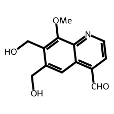 COc1c(CO)c(CO)cc2c(C=O)ccnc12